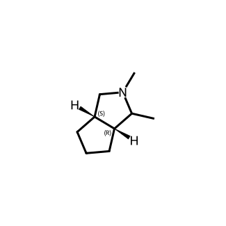 CC1[C@@H]2CCC[C@@H]2CN1C